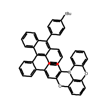 CC(C)(C)c1ccc(-c2c3ccccc3c(-c3ccccc3-c3ccc4c(c3)Oc3cccc5c3B4c3ccccc3O5)c3ccccc23)cc1